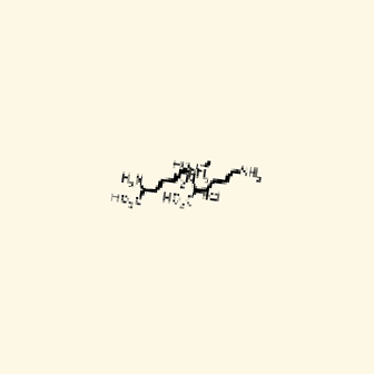 CC(=O)O.Cl.NCCCCC(N)C(=O)O.NCCCCC(N)C(=O)O